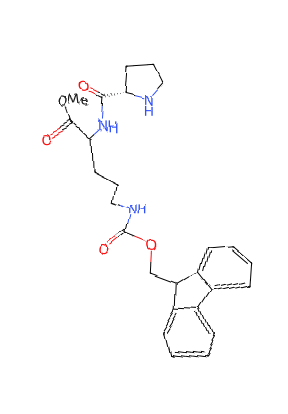 COC(=O)C(CCCNC(=O)OCC1c2ccccc2-c2ccccc21)NC(=O)[C@@H]1CCCN1